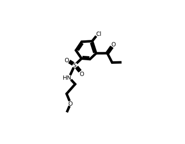 CCC(=O)c1cc(S(=O)(=O)NCCOC)ccc1Cl